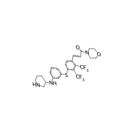 O=C(C=Cc1ccc(Sc2cccc(NC3CCCNC3)c2)c(C(F)(F)F)c1C(F)(F)F)N1CCOCC1